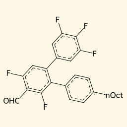 CCCCCCCCc1ccc(-c2c(-c3cc(F)c(F)c(F)c3)cc(F)c(C=O)c2F)cc1